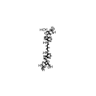 O=[PH](S)O[C@@H]1[C@@H](CO)OC(n2cnc3c(NCC/C=C/CNc4ncnc5c4ncn5C4OC(CO)[C@@H](O[PH](=O)S)[C@H]4F)ncnc32)[C@@H]1F